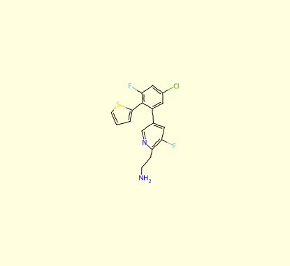 NCCc1ncc(-c2cc(Cl)cc(F)c2-c2cccs2)cc1F